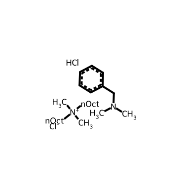 CCCCCCCC[N+](C)(C)CCCCCCCC.CN(C)Cc1ccccc1.Cl.[Cl-]